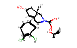 C=C(C)OC(=O)N1C[C@H]2C[C@@H](O)C[C@@]2(c2ccc(Cl)c(Cl)c2)C1